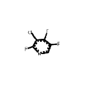 Fc1cnc(F)c(Cl)c1F